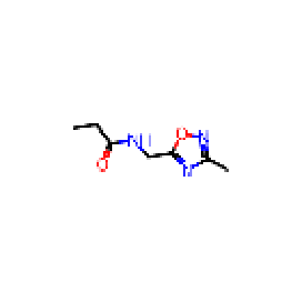 CCC(=O)NCc1nc(C)no1